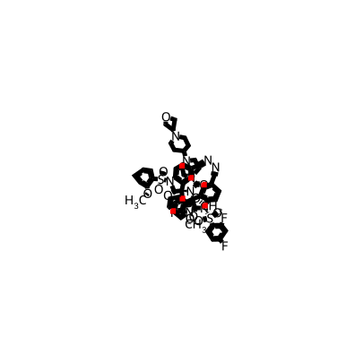 COc1ccccc1S(=O)(=O)N1C(=O)[C@](c2cccnc2OC)(N(C(=O)N2CCN(C3CCN(C4COC4)CC3)CC2)[C@@]2(c3cccnc3OC)C(=O)N(S(=O)(=O)c3ccc(F)cc3F)c3ccc(C#N)cc32)c2cc(C#N)ccc21